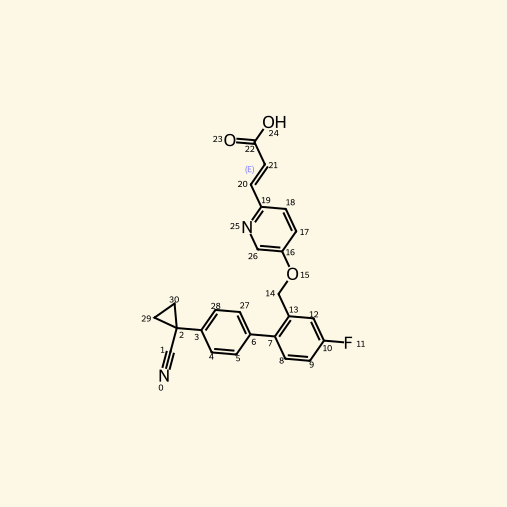 N#CC1(c2ccc(-c3ccc(F)cc3COc3ccc(/C=C/C(=O)O)nc3)cc2)CC1